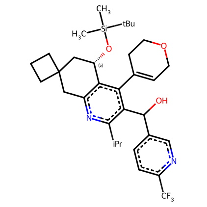 CC(C)c1nc2c(c(C3=CCOCC3)c1C(O)c1ccc(C(F)(F)F)nc1)[C@@H](O[Si](C)(C)C(C)(C)C)CC1(CCC1)C2